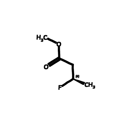 COC(=O)C[C@@H](C)F